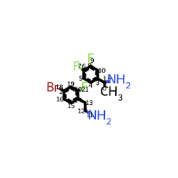 CC(N)c1ccc(F)c(F)c1.NCCc1ccc(Br)cc1F